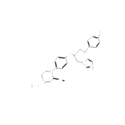 CN1CCN(c2ccc(OC(CCc3ccc(Cl)cc3)Cn3ccnc3)cc2)C(=C=S)C1